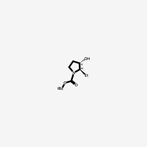 CC[C@@H]1[C@@H](O)CCN1C(=O)OC(C)(C)C